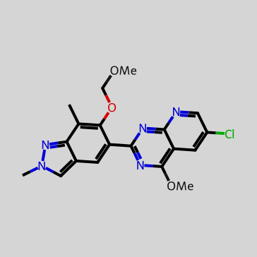 COCOc1c(-c2nc(OC)c3cc(Cl)cnc3n2)cc2cn(C)nc2c1C